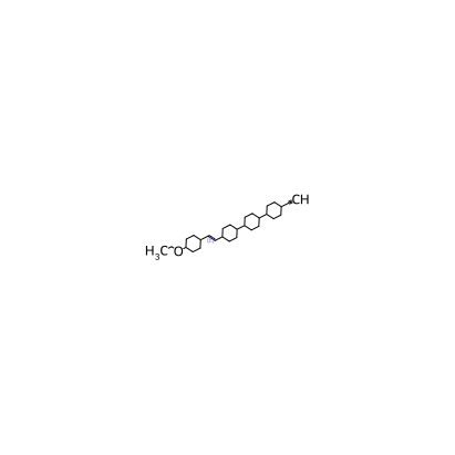 C#CC1CCC(C2CCC(C3CCC(/C=C/C4CCC(OCC)CC4)CC3)CC2)CC1